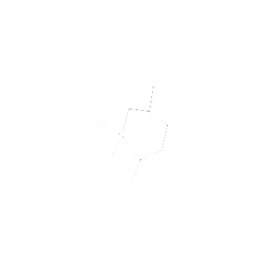 CC[N+]1(C)CC(C)CCC1C